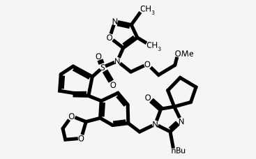 CCCCC1=NC2(CCCC2)C(=O)N1Cc1ccc(-c2ccccc2S(=O)(=O)N(COCCOC)c2onc(C)c2C)c(C2OCCO2)c1